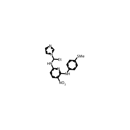 CCC(Nc1ccc([N+](=O)[O-])c(Nc2ccc(SC)cc2)n1)n1ccnc1